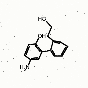 Nc1ccc(O)c(-c2ccccc2CCO)c1